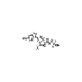 CCCNc1cc(-n2cnc3cc(C#N)cnc32)ncc1C(=O)NC[C@@H](F)C(C)(C)O